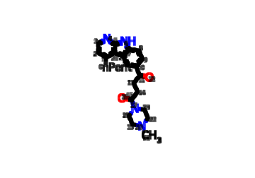 CCCCCc1ccnc2[nH]c3ccc(C(=O)CCC(=O)N4CCN(C)CC4)cc3c12